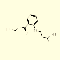 CCOC(=O)c1ccccc1NCCC(O)O